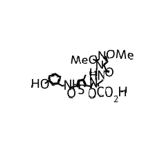 COc1cc(C(=O)NCC(NC(=O)c2sc(C(=O)NCc3cccc(O)c3)cc2C)C(=O)O)nc(OC)n1